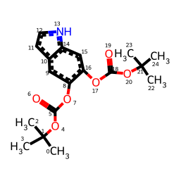 CC(C)(C)OC(=O)Oc1cc2cc[nH]c2cc1OC(=O)OC(C)(C)C